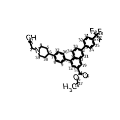 C#CCN1CCC(c2ccc(-c3cc(C(=O)OCC)cc4cc(-c5ccc(C(F)(F)F)cc5)ccc34)cc2)CC1